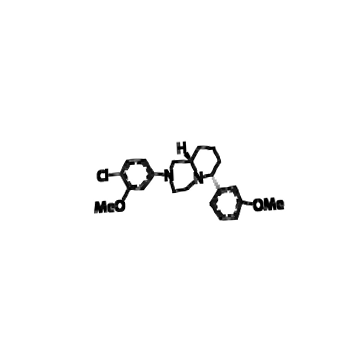 COc1cccc([C@H]2CCC[C@H]3CN(c4ccc(Cl)c(OC)c4)CCN32)c1